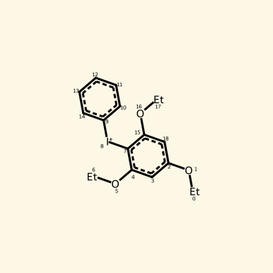 CCOc1cc(OCC)c([I+]c2ccccc2)c(OCC)c1